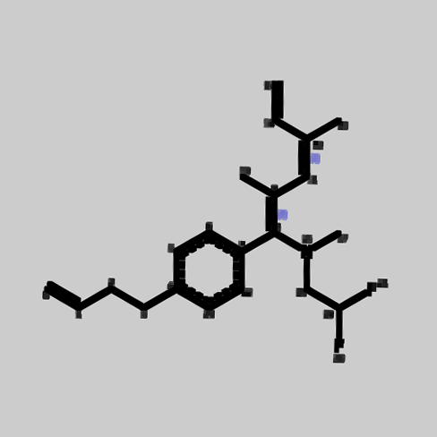 C=CCCc1ccc(/C(=C(C)/C=C(/C)C=C)N(C)CC(F)F)cc1